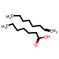 C=CCCCCCC.CCCCCCC(=O)O